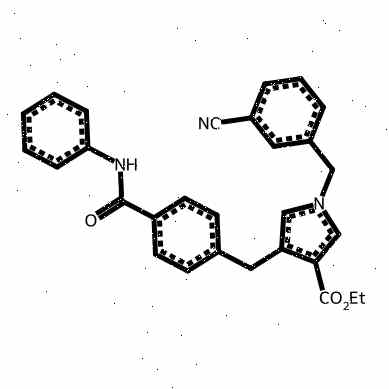 CCOC(=O)c1cn(Cc2cccc(C#N)c2)cc1Cc1ccc(C(=O)Nc2ccccc2)cc1